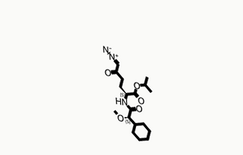 CO[C@H](C(=O)N[C@@H](CCC(=O)C=[N+]=[N-])C(=O)OC(C)C)C1CCCCC1